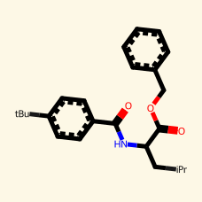 CC(C)CC(NC(=O)c1ccc(C(C)(C)C)cc1)C(=O)OCc1ccccc1